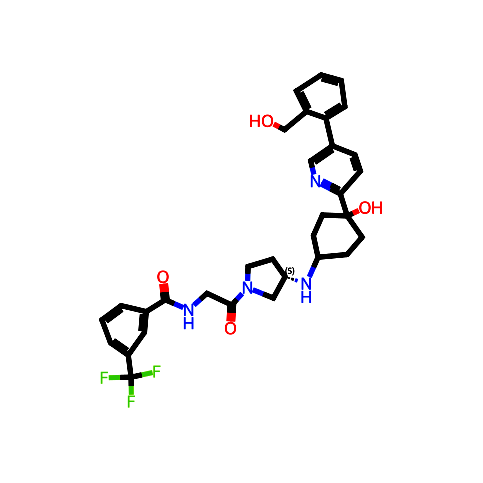 O=C(NCC(=O)N1CC[C@H](NC2CCC(O)(c3ccc(-c4ccccc4CO)cn3)CC2)C1)c1cccc(C(F)(F)F)c1